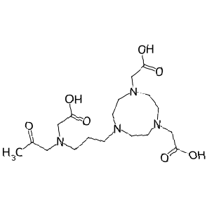 CC(=O)CN(CCCN1CCN(CC(=O)O)CCN(CC(=O)O)CC1)CC(=O)O